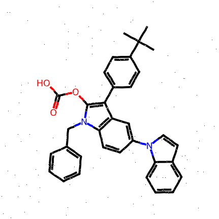 CC(C)(C)c1ccc(-c2c(OC(=O)O)n(Cc3ccccc3)c3ccc(-n4ccc5ccccc54)cc23)cc1